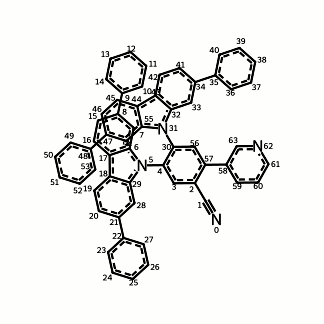 N#Cc1cc(-n2c3cc(-c4ccccc4)ccc3c3ccc(-c4ccccc4)cc32)c(-n2c3cc(-c4ccccc4)ccc3c3ccc(-c4ccccc4)cc32)cc1-c1cccnc1